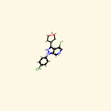 Fc1cncc2c1c(C1CCOCC1)nn2-c1ccc(Cl)cc1